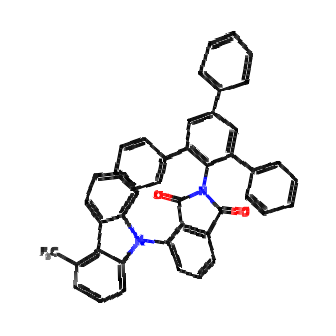 O=C1c2cccc(-n3c4ccccc4c4c(C(F)(F)F)cccc43)c2C(=O)N1c1c(-c2ccccc2)cc(-c2ccccc2)cc1-c1ccccc1